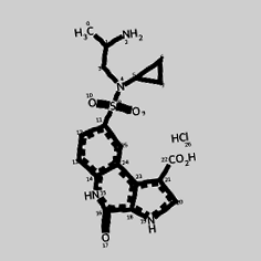 CC(N)CN(C1CC1)S(=O)(=O)c1ccc2[nH]c(=O)c3[nH]cc(C(=O)O)c3c2c1.Cl